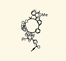 CC#CC(=O)N1CC[C@H](C(=O)N(C)[C@H](C(=O)N[C@H]2Cc3cccc(c3)-c3ccc4c(c3)c(c(-c3cccnc3[C@H](C)OC)n4C)CC(C)(C)COC(=O)[C@@H]3CCCN(N3)C2=O)C(C)C)C1